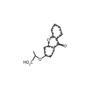 CC(Oc1ccc2c(=O)c3ccccc3oc2c1)C(=O)O